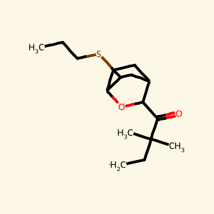 [CH2]CC(C)(C)C(=O)[C]1OC2CCC1CC2SCCC